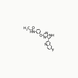 C=CC(=O)Nc1cccc(Oc2cnc3[nH]cc(-c4cnc5ccc(F)cc5c4)c3n2)c1